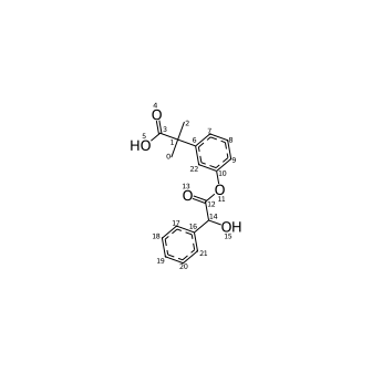 CC(C)(C(=O)O)c1cccc(OC(=O)C(O)c2ccccc2)c1